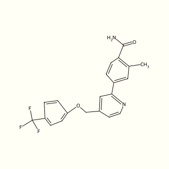 Cc1cc(-c2cc(COc3ccc(C(F)(F)F)cc3)ccn2)ccc1C(N)=O